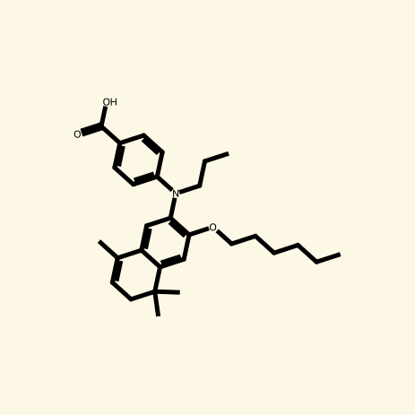 CCCCCCOc1cc2c(cc1N(CCC)c1ccc(C(=O)O)cc1)C(C)=CCC2(C)C